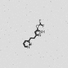 FC(F)Oc1cc(C[CH]c2cccnn2)n[nH]1